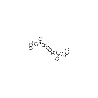 c1ccc(N(c2ccc3c(c2)oc2ccc4ccccc4c23)c2ccc3c(c2)sc2cc4cc5c(cc4cc23)sc2cc(N(c3ccccc3)c3ccc4c(c3)oc3ccc6ccccc6c34)ccc25)cc1